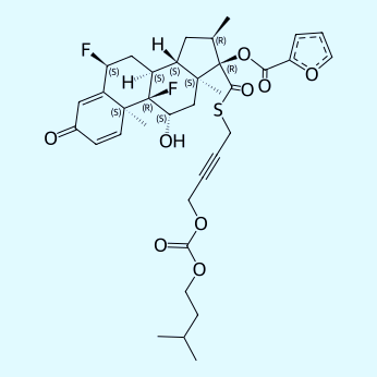 CC(C)CCOC(=O)OCC#CCSC(=O)[C@@]1(OC(=O)c2ccco2)[C@H](C)C[C@H]2[C@@H]3C[C@H](F)C4=CC(=O)C=C[C@]4(C)[C@@]3(F)[C@@H](O)C[C@@]21C